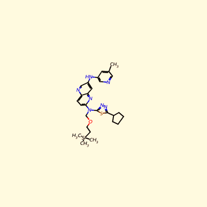 Cc1cncc(Nc2cnc3ccc(N(COCC[Si](C)(C)C)c4nnc(C5CCCC5)s4)nc3c2)c1